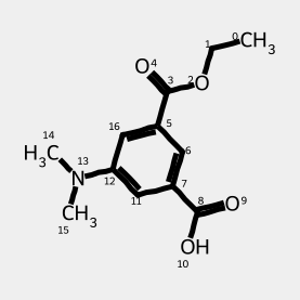 CCOC(=O)c1cc(C(=O)O)cc(N(C)C)c1